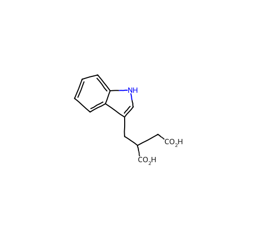 O=C(O)CC(Cc1c[nH]c2ccccc12)C(=O)O